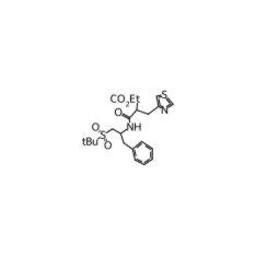 CCOC(=O)C(Cc1cscn1)C(=O)NC(Cc1ccccc1)CS(=O)(=O)C(C)(C)C